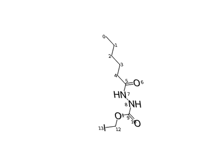 CCCCCC(=O)NNC(=O)OCI